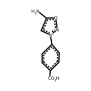 Nc1c[n+](-c2ccc(C(=O)O)cc2)no1